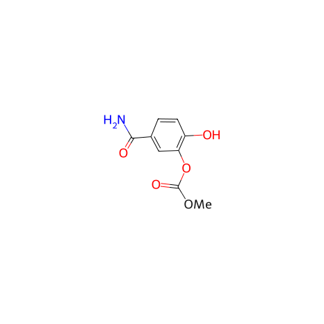 COC(=O)Oc1cc(C(N)=O)ccc1O